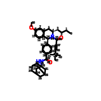 CCCC[C@H]1Cc2cc(OC)ccc2[C@H](c2ccc(C(=O)NC34CC5CC(CC(C5)C3)C4)cc2)N1C(=O)C#C[Si](C)(C)C